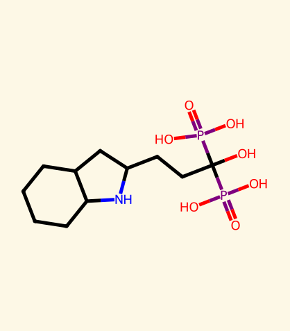 O=P(O)(O)C(O)(CCC1CC2CCCCC2N1)P(=O)(O)O